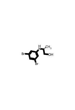 C[C@H](CO)Nc1cc(Br)cc(Br)c1